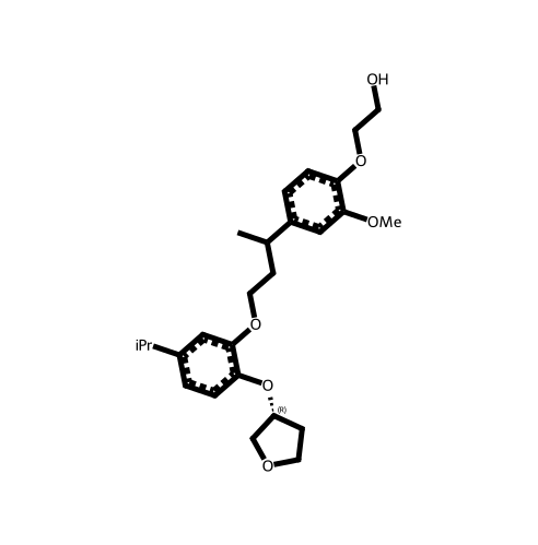 COc1cc(C(C)CCOc2cc(C(C)C)ccc2O[C@@H]2CCOC2)ccc1OCCO